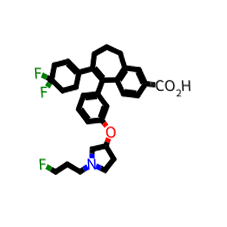 O=C(O)c1ccc2c(c1)CCCC(C1=CCC(F)(F)CC1)=C2c1cccc(OC2CCN(CCCF)C2)c1